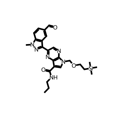 CCCNC(=O)c1cn(COCC[Si](C)(C)C)c2ncc(-c3nn(C)c4ccc(C=O)cc34)nc12